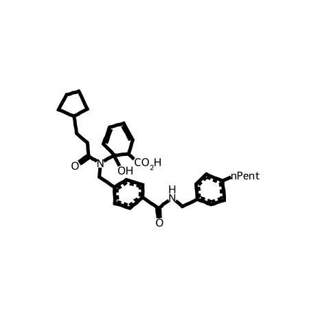 CCCCCc1ccc(CNC(=O)c2ccc(CN(C(=O)CCC3CCCC3)C3(O)C=CC=CC3C(=O)O)cc2)cc1